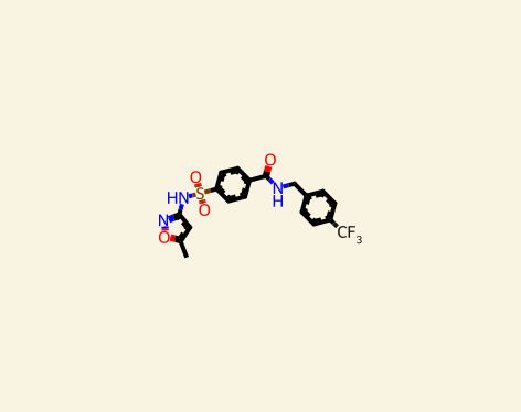 Cc1cc(NS(=O)(=O)c2ccc(C(=O)NCc3ccc(C(F)(F)F)cc3)cc2)no1